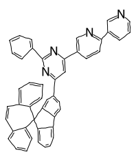 C1=Cc2ccccc2C2(c3ccccc31)c1ccccc1-c1ccc(-c3cc(-c4ccc(-c5cccnc5)nc4)nc(-c4ccccc4)n3)cc12